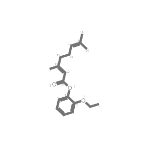 CCOc1ccccc1OC(=O)/C=C(\C)CCC=C(C)C